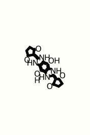 O=C1CCC(=O)C1=C1Nc2c(O)c3c(c(O)c2N1)NC(=C1C(=O)CCC1=O)N3